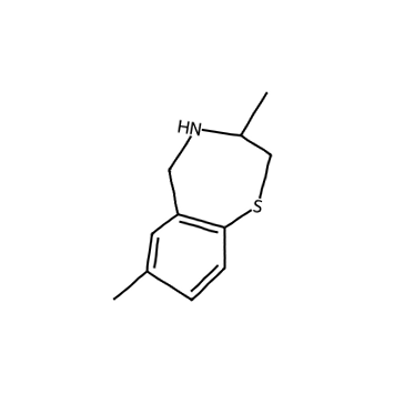 Cc1ccc2c(c1)CNC(C)CS2